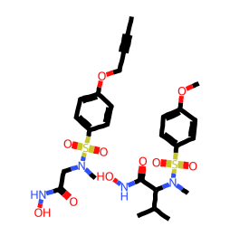 CC#CCOc1ccc(S(=O)(=O)N(C)CC(=O)NO)cc1.COc1ccc(S(=O)(=O)N(C)C(C(=O)NO)C(C)C)cc1